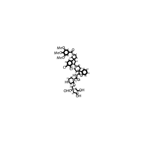 COc1cc(C(=O)N2CCC(CCN3CCC(C(=O)NC(=O)N4CCNC[C@]4(C)OC[N+](C=O)(CCO)CCO)(c4ccccc4)CC3)(c3ccc(Cl)c(Cl)c3)C2)cc(OC)c1OC